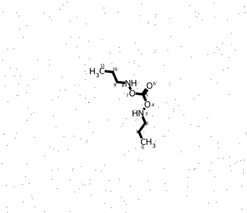 CCCNOC(=O)ONCCC